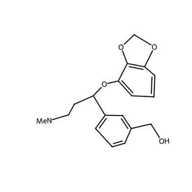 CNCCC(Oc1cccc2c1OCO2)c1cccc(CO)c1